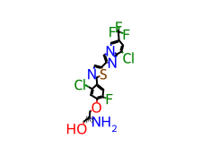 N[C@H](CO)COc1cc(Cl)c(-c2ncc(-c3cn4cc(C(F)(F)F)cc(Cl)c4n3)s2)cc1F